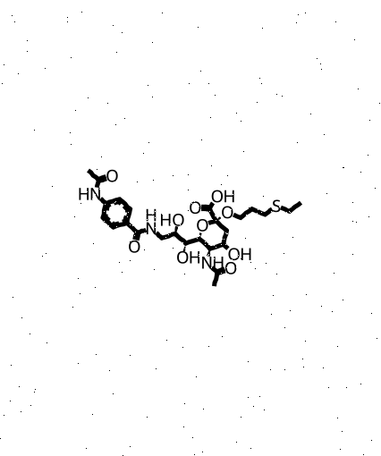 CCSCCCO[C@]1(C(=O)O)CC(O)[C@@H](NC(C)=O)[C@H]([C@H](O)[C@H](O)CNC(=O)c2ccc(NC(C)=O)cc2)O1